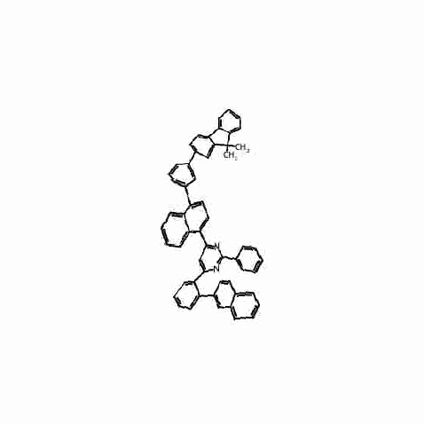 CC1(C)c2ccccc2-c2ccc(-c3cccc(-c4ccc(-c5cc(-c6ccccc6-c6ccc7ccccc7c6)nc(-c6ccccc6)n5)c5ccccc45)c3)cc21